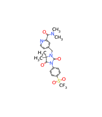 CN(C)C(=O)c1cc(CN2C(=O)N(c3ccc(S(=O)(=O)C(F)(F)F)cc3)C(=O)C2(C)C)ccn1